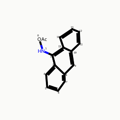 CC(=O)ONc1c2ccccc2cc2ccccc12